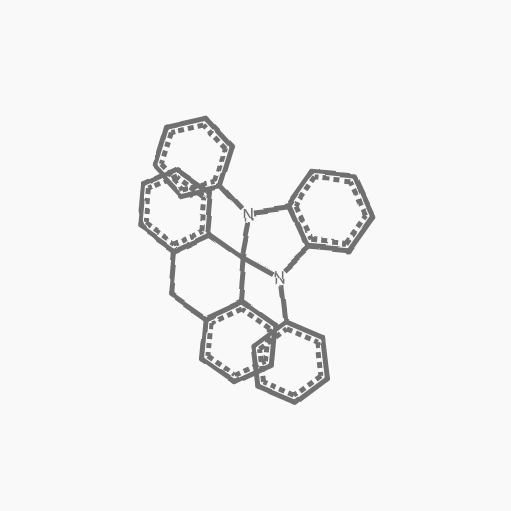 c1ccc(N2c3ccccc3N(c3ccccc3)C23c2ccccc2Cc2ccccc23)cc1